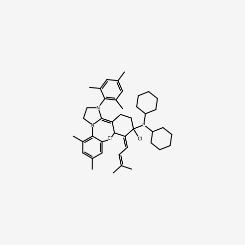 CC(C)=CC=C1C(Cl)C(=C2N(c3c(C)cc(C)cc3C)CCN2c2c(C)cc(C)cc2C)CCC1(Cl)P(C1CCCCC1)C1CCCCC1